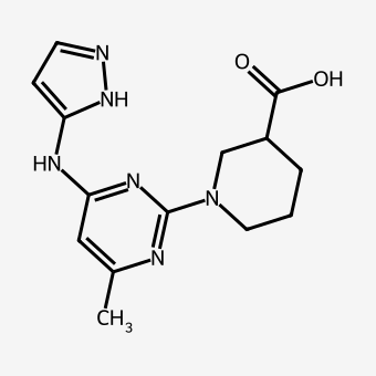 Cc1cc(Nc2ccn[nH]2)nc(N2CCCC(C(=O)O)C2)n1